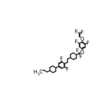 CCCC1CCC(c2cc(F)c(CCC3CCC(C(F)(F)Oc4cc(F)c(OC=C(F)F)c(F)c4)CC3)c(F)c2)CC1